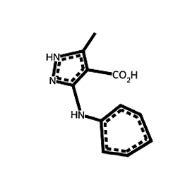 Cc1[nH]nc(Nc2ccccc2)c1C(=O)O